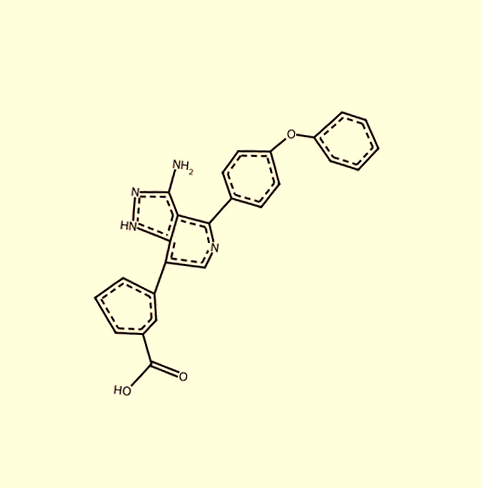 Nc1n[nH]c2c(-c3cccc(C(=O)O)c3)cnc(-c3ccc(Oc4ccccc4)cc3)c12